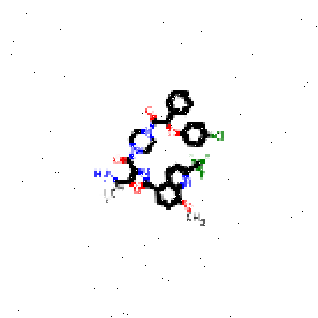 COc1ccc(-c2nc(C(=O)N3CCN(C(=O)C(Oc4ccc(Cl)cc4)c4ccccc4)CC3)c([C@H](C)N)o2)c2ccc(C(F)(F)F)nc12